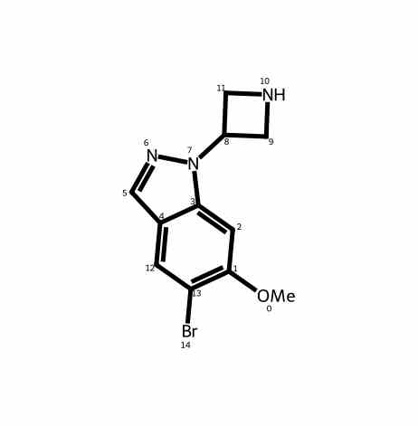 COc1cc2c(cnn2C2CNC2)cc1Br